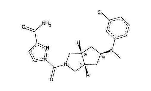 CN(c1cccc(Cl)c1)[C@H]1C[C@@H]2CN(C(=O)n3ccc(C(N)=O)n3)C[C@@H]2C1